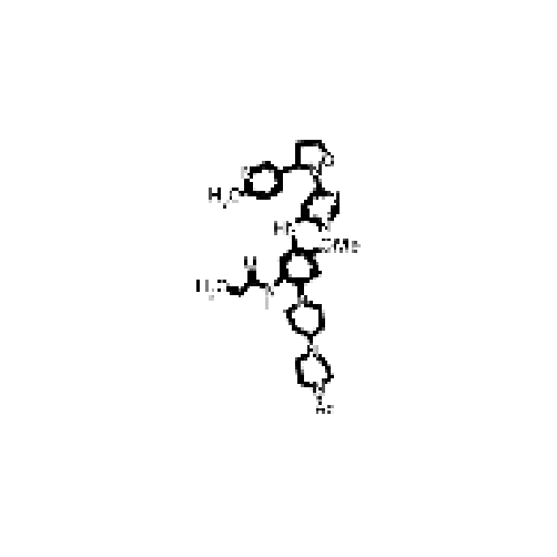 C=CC(=O)Nc1cc(Nc2cc(N3OCCC3c3ccc(C)nc3)ncn2)c(OC)cc1N1CCC(N2CCN(C(C)=O)CC2)CC1